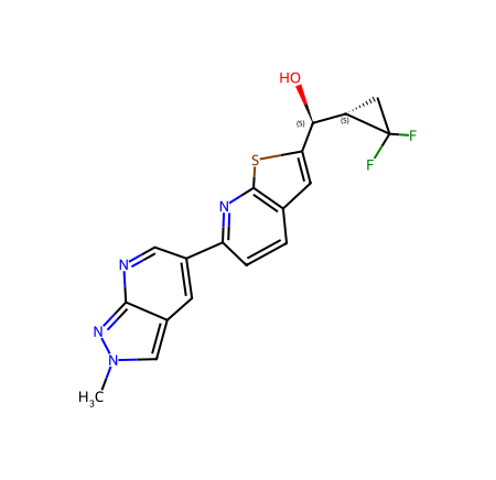 Cn1cc2cc(-c3ccc4cc([C@@H](O)[C@@H]5CC5(F)F)sc4n3)cnc2n1